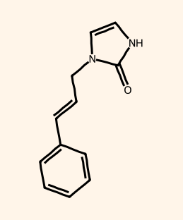 O=c1[nH]ccn1CC=Cc1ccccc1